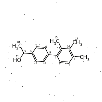 Cc1ccc(-c2ccc(C(C)O)cc2)c(C)c1C